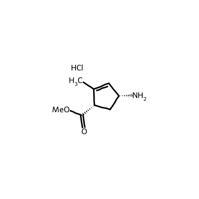 COC(=O)[C@H]1C[C@@H](N)C=C1C.Cl